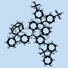 CC(C)(C)c1ccc(C2(c3ccc(C(C)(C)C)cc3)c3ccccc3-c3c(N(c4ccc(-c5cccc6c5C(C)(C)c5ccccc5-6)cc4)c4ccc5c(c4)C4(c6ccccc6-5)C5CC6CC(C5)CC4C6)cccc32)cc1